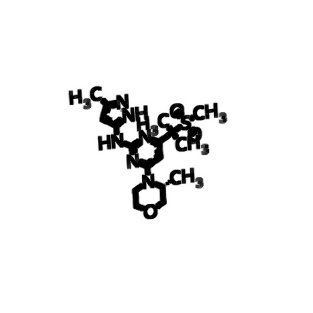 Cc1cc(Nc2nc(N3CCOC[C@H]3C)cc(C(C)(C)S(C)(=O)=O)n2)[nH]n1